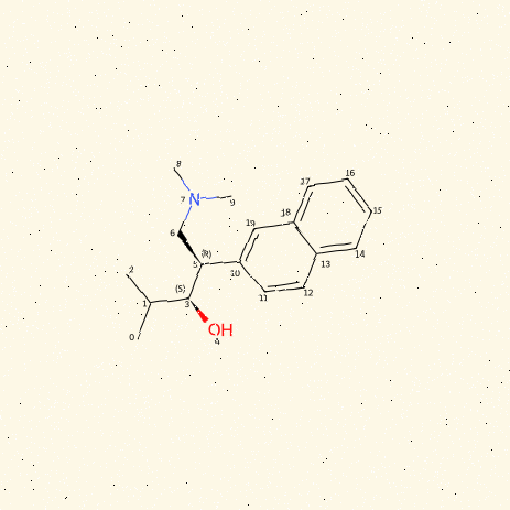 CC(C)[C@H](O)[C@@H](CN(C)C)c1ccc2ccccc2c1